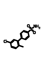 Cc1ccc(Cl)cc1-c1ccc(S(N)(=O)=O)cc1